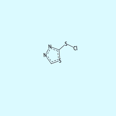 ClSc1nncs1